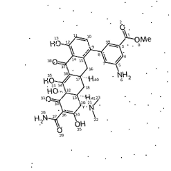 COC(=O)c1cc(N)cc(-c2ccc(O)c3c2C[C@H]2C[C@H]4[C@H](N(C)C)C(O)=C(C(N)=O)C(=O)[C@@]4(O)C(O)=C2C3=O)c1